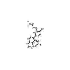 CC(=O)Nc1c(-c2ccc(I)c(OCCN(C)C)c2)ccc2ccccc12